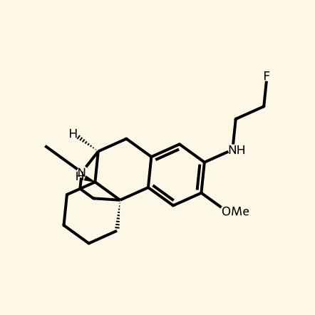 COc1cc2c(cc1NCCF)C[C@H]1[C@H]3CCCC[C@@]23CCN1C